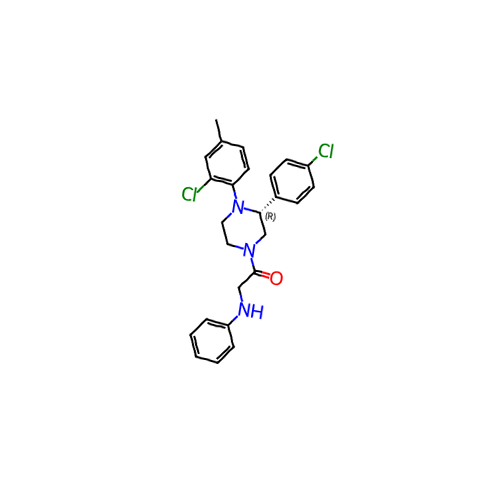 Cc1ccc(N2CCN(C(=O)CNc3ccccc3)C[C@H]2c2ccc(Cl)cc2)c(Cl)c1